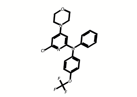 FC(F)(F)Oc1ccc(N(c2ccccc2)c2cc(N3CCOCC3)cc(Cl)n2)cc1